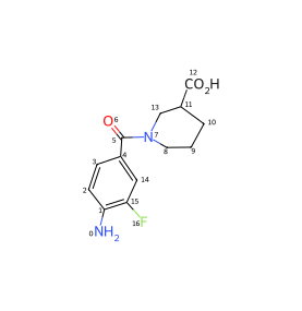 Nc1ccc(C(=O)N2CCCC(C(=O)O)C2)cc1F